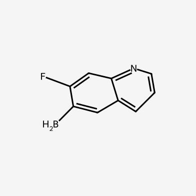 Bc1cc2cccnc2cc1F